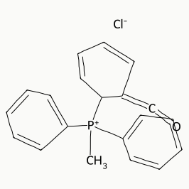 C[P+](c1ccccc1)(c1ccccc1)C1C=CC=CC1=C=O.[Cl-]